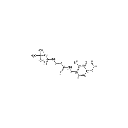 CC(C)(C)OC(=O)NCCC(=O)NCc1ncc2ccccc2c1Br